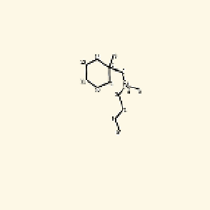 CCCCN(C)CC1(C)CCCCC1